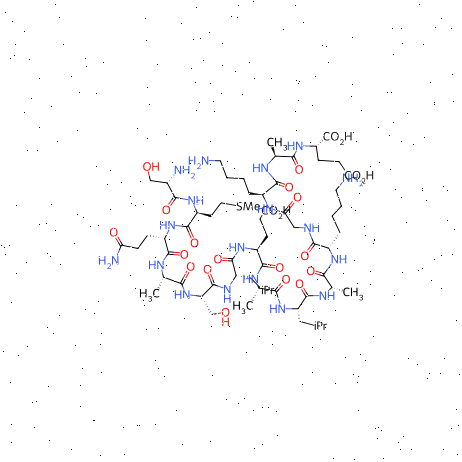 CSCC[C@H](NC(=O)[C@@H](N)CO)C(=O)N[C@@H](CCC(N)=O)C(=O)N[C@@H](C)C(=O)N[C@@H](CO)C(=O)N[C@@H](CC(C)C)C(=O)N[C@@H](CCC(=O)O)C(=O)N[C@@H](C)C(=O)N[C@@H](CC(C)C)C(=O)N[C@@H](C)C(=O)N[C@@H](CCCCN)C(=O)NCC(=O)N[C@@H](CCCCN)C(=O)N[C@@H](C)C(=O)N[C@@H](CCC(=O)O)C(=O)O